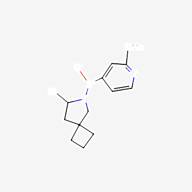 CCC1CC2(CCC2)CN1[S+]([O-])c1ccnc(OC)c1